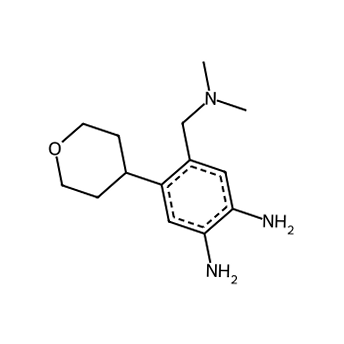 CN(C)Cc1cc(N)c(N)cc1C1CCOCC1